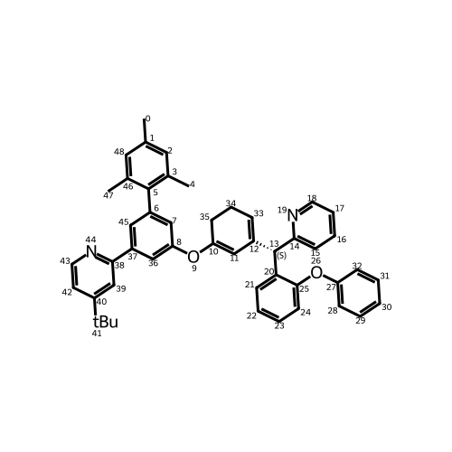 Cc1cc(C)c(-c2cc(OC3=CC([C@H](c4ccccn4)c4ccccc4Oc4ccccc4)=CCC3)cc(-c3cc(C(C)(C)C)ccn3)c2)c(C)c1